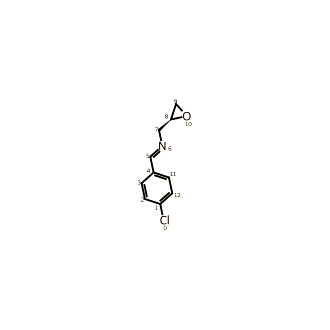 Clc1ccc(/C=N/C[C@H]2CO2)cc1